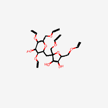 C=COCC1OC(COC=C)(CC2OC(COC=C)C(OC=C)C(O)C2OC=C)C(O)C1O